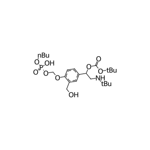 CCCCOP(=O)(O)OCOc1ccc(C(CNC(C)(C)C)OC(=O)OC(C)(C)C)cc1CO